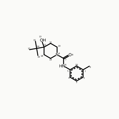 Cc1cccc(NC(=O)N2CCC(O)(C(C)(C)C)CC2)c1